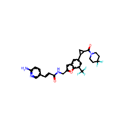 Nc1ccc(/C=C/C(=O)NCc2cc3cc(C4CC4C(=O)N4CCC(F)(F)CC4)cc(C(F)(F)F)c3o2)cn1